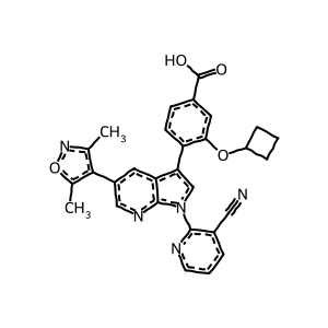 Cc1noc(C)c1-c1cnc2c(c1)c(-c1ccc(C(=O)O)cc1OC1CCC1)cn2-c1ncccc1C#N